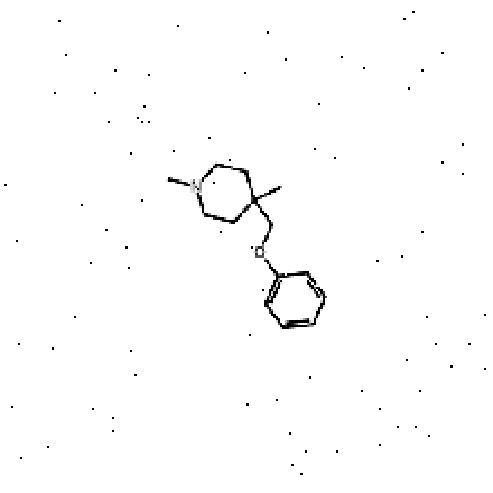 CN1CCC(C)(COc2ccccc2)CC1